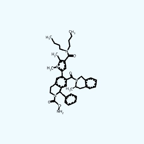 CCCCN(CCCC)C(=O)c1cc(-c2cc3c(cc2C(=O)N2Cc4ccccc4C[C@H]2C)C(c2ccccc2)N(C(=O)ON)CC3)n(C)c1C